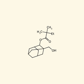 CCC(C)(C)C(=O)OC1C2CC3CC(C2)CC1(CO)C3